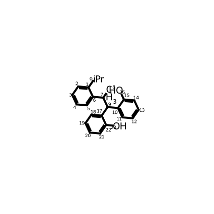 CC(C)c1ccccc1C(C)C(c1ccccc1O)c1ccccc1O